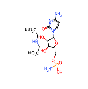 CCOC(=O)CNCC(=O)OCC.Nc1ccn([C@@H]2O[C@H](COP(N)(=O)O)[C@@H](O)[C@H]2O)c(=O)n1